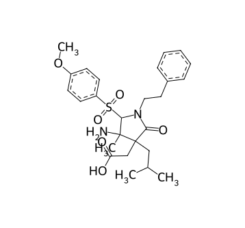 COc1ccc(S(=O)(=O)C2N(CCc3ccccc3)C(=O)C(CC(=O)O)(CC(C)C)C2(C)N)cc1